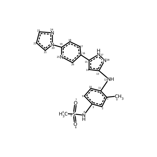 Cc1cc(NS(C)(=O)=O)ccc1Nc1cc(-c2ccc(-n3cccn3)nc2)[nH]n1